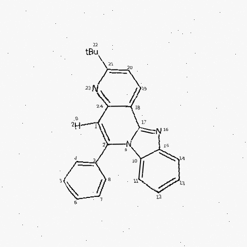 [2H]c1c(-c2ccccc2)n2c3ccccc3nc2c2ccc(C(C)(C)C)nc12